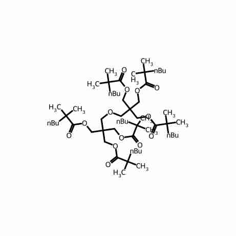 CCCCC(C)(C)C(=O)OCC(COCC(COC(=O)C(C)(C)CCCC)(COC(=O)C(C)(C)CCCC)COC(=O)C(C)(C)CCCC)(COC(=O)C(C)(C)CCCC)COC(=O)C(C)(C)CCCC